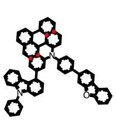 c1ccc(-c2cccc3cccc(-c4ccccc4N(c4ccc(-c5ccc6c(c5)oc5ccccc56)cc4)c4cccc(-c5cccc6c5c5ccccc5n6-c5ccccc5)c4)c23)cc1